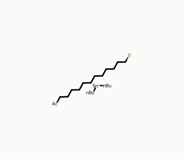 CC(=O)CCCCCCCCCCCC[S-].CCC[CH2][Sn+][CH2]CCC